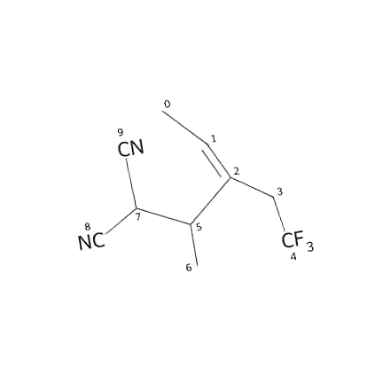 C/C=C(/CC(F)(F)F)C(C)C(C#N)C#N